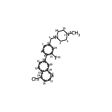 CN1CCN(Cc2ccc(-c3ccc4c(Cl)ccnc4c3)c(F)c2)CC1